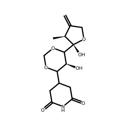 C=C1CO[C@](O)(C2OCOC(C3CC(=O)NC(=O)C3)[C@@H]2O)[C@H]1C